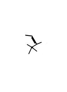 C/C=C(/C)C(C)(C)C